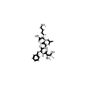 CC(C)C[C@H](NC(=O)[C@H](Cc1ccccc1)NC(=O)[C@@H](N)[C@@H](C)O)C(=O)N[C@@H](CCCCN)C(=O)O